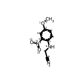 COc1ccc(NCC#N)c([N+](=O)[O-])c1